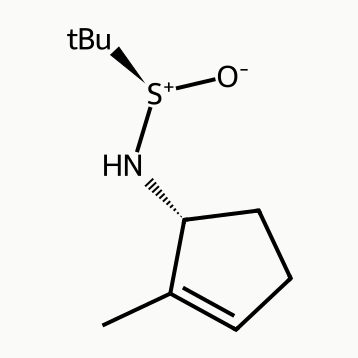 CC1=CCC[C@H]1N[S@+]([O-])C(C)(C)C